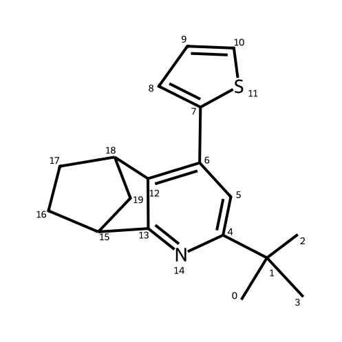 CC(C)(C)c1cc(-c2cccs2)c2c(n1)C1CCC2C1